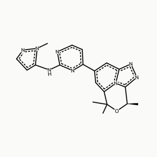 C[C@H]1OC(C)(C)c2cc(-c3ccnc(Nc4ccnn4C)n3)cc3nnc1n23